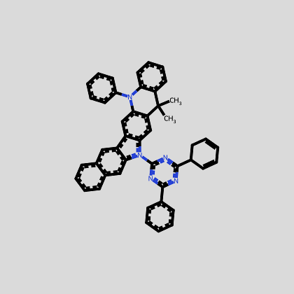 CC1(C)c2ccccc2N(c2ccccc2)c2cc3c4cc5ccccc5cc4n(-c4nc(-c5ccccc5)nc(C5C=CC=CC5)n4)c3cc21